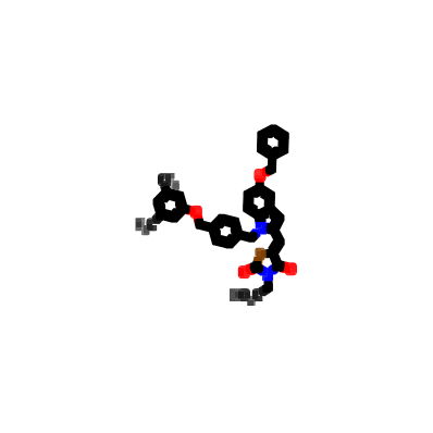 O=C(O)CN1C(=O)SC(=Cc2cc3cc(OCc4ccccc4)ccc3n2Cc2ccc(COc3cc(C(F)(F)F)cc(C(F)(F)F)c3)cc2)C1=O